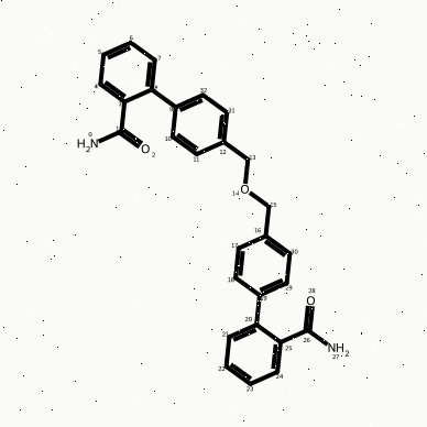 NC(=O)c1ccccc1-c1ccc(COCc2ccc(-c3ccccc3C(N)=O)cc2)cc1